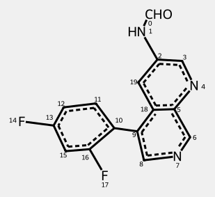 O=CNc1cnc2cncc(-c3ccc(F)cc3F)c2c1